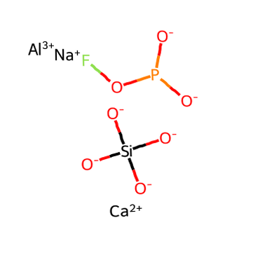 [Al+3].[Ca+2].[Na+].[O-]P([O-])OF.[O-][Si]([O-])([O-])[O-]